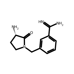 N=C(N)c1cccc(CN2CC[C@H](N)C2=O)c1